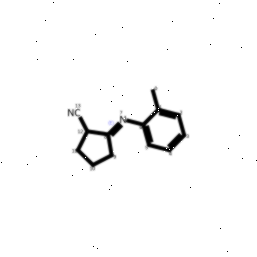 Cc1ccccc1/N=C1\CCCC1C#N